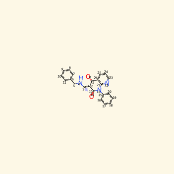 O=C1/C(=C\NCc2ccccc2)C(=O)N(c2ccccc2)c2ncccc21